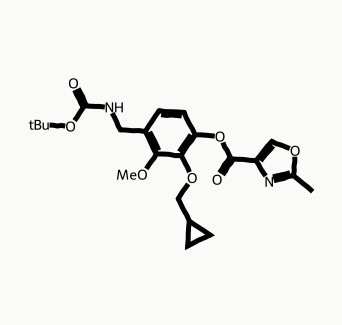 COc1c(CNC(=O)OC(C)(C)C)ccc(OC(=O)c2coc(C)n2)c1OCC1CC1